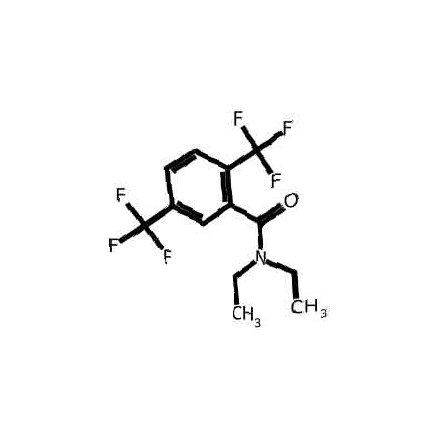 CCN(CC)C(=O)c1cc(C(F)(F)F)ccc1C(F)(F)F